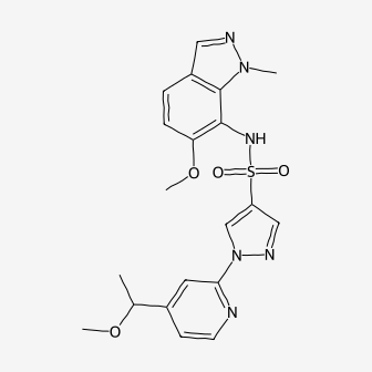 COc1ccc2cnn(C)c2c1NS(=O)(=O)c1cnn(-c2cc(C(C)OC)ccn2)c1